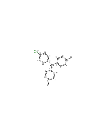 Cc1ccc([As](c2ccc(C)cc2)c2ccc(Cl)cc2)cc1